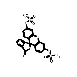 O=C1OC2(c3ccc(OS(=O)(=O)C(F)(F)F)cc3Oc3cc(OS(=O)(=O)C(F)(F)F)ccc32)c2ccccc21